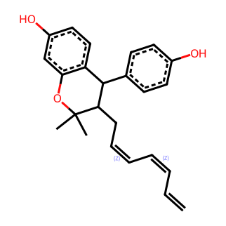 C=C/C=C\C=C/CC1C(c2ccc(O)cc2)c2ccc(O)cc2OC1(C)C